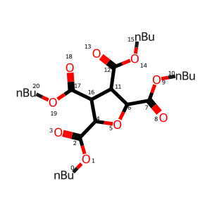 CCCCOC(=O)C1OC(C(=O)OCCCC)C(C(=O)OCCCC)C1C(=O)OCCCC